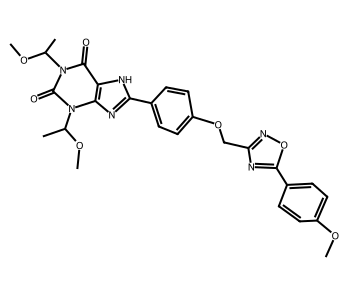 COc1ccc(-c2nc(COc3ccc(-c4nc5c([nH]4)c(=O)n(C(C)OC)c(=O)n5C(C)OC)cc3)no2)cc1